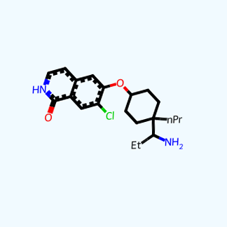 CCCC1(C(N)CC)CCC(Oc2cc3cc[nH]c(=O)c3cc2Cl)CC1